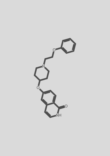 O=c1[nH]ccc2cc(OC3CCN(CCOc4ccccc4)CC3)ccc12